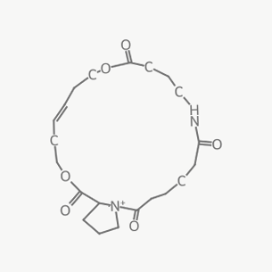 O=C1CCCCC(=O)[N+]2CCCC2C(=O)OCCC=CCCOC(=O)CCCCN1